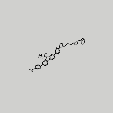 CC1c2cc(-c3ccc(C#N)cc3)ccc2-c2ccc(-c3ccc(OCCCCOCC4CO4)cc3)cc21